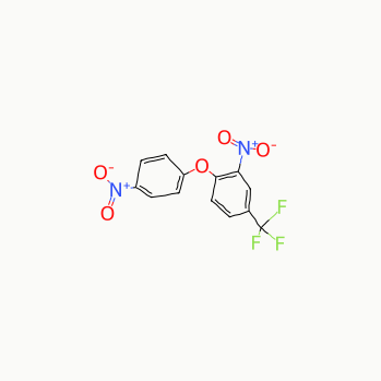 O=[N+]([O-])c1ccc(Oc2ccc(C(F)(F)F)cc2[N+](=O)[O-])cc1